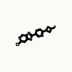 FC1CN(c2ccc(-c3nc4cnc(Cl)cc4s3)cn2)C1